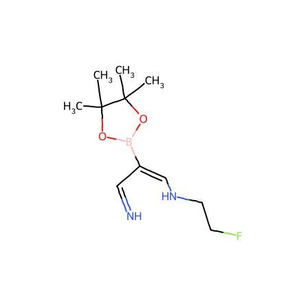 CC1(C)OB(/C(C=N)=C/NCCF)OC1(C)C